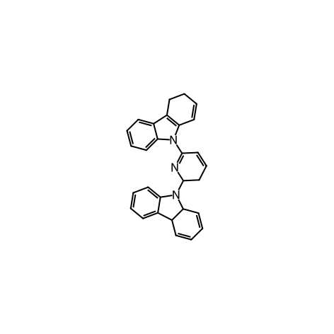 C1=CC2c3ccccc3N(C3CC=CC(n4c5c(c6ccccc64)CCC=C5)=N3)C2C=C1